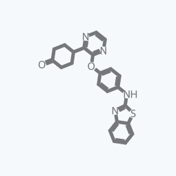 O=C1CCC(c2nccnc2Oc2ccc(Nc3nc4ccccc4s3)cc2)CC1